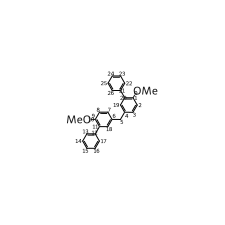 COc1ccc(Cc2ccc(OC)c(-c3ccccc3)c2)cc1-c1ccccc1